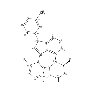 C[C@@H]1CN(c2ncnc3c2c(-c2ccccc2F)cn3-c2cc(C(F)(F)F)ccn2)[C@@H](C)CN1